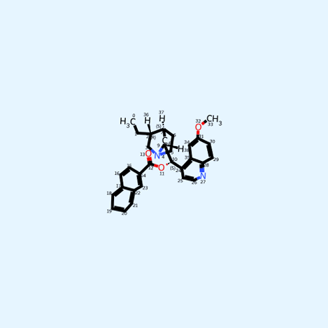 CC[C@H]1CN2CC[C@H]1C[C@@H]2[C@@H](OC(=O)c1ccc2ccccc2c1)c1ccnc2ccc(OC)cc12